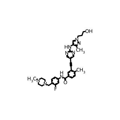 Cc1ccc(C(=O)Nc2ccc(CN3CCN(C)CC3)c(F)c2)cc1C#Cc1cnc(Nc2cn(CCCO)nc2C)nc1